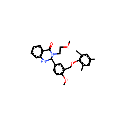 COCCN1C(=O)c2ccccc2NC1c1ccc(OC)c(COc2c(C)cc(C)cc2C)c1